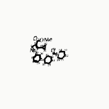 COC(=O)c1cnn(-c2cccc([C@H]3CCC[C@@H](C(=O)N4CCCCC4)C3)c2)c1C1CC1